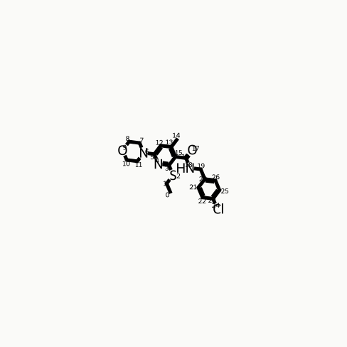 CCSc1nc(N2CCOCC2)cc(C)c1C(=O)NCc1ccc(Cl)cc1